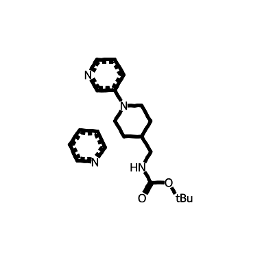 CC(C)(C)OC(=O)NCC1CCN(c2cccnc2)CC1.c1ccncc1